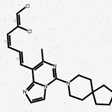 Cc1nc(N2CCC3(CCCC3)CC2)n2ccnc2c1/C=C/C=C\C(Cl)=C\Cl